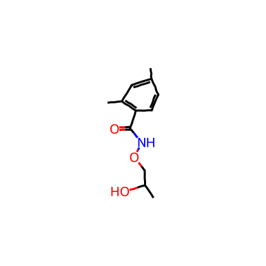 Cc1ccc(C(=O)NOCC(C)O)c(C)c1